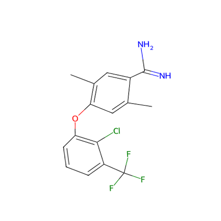 Cc1cc(C(=N)N)c(C)cc1Oc1cccc(C(F)(F)F)c1Cl